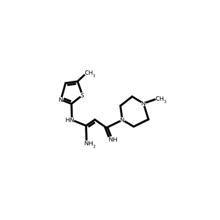 Cc1cnc(N/C(N)=C/C(=N)N2CCN(C)CC2)s1